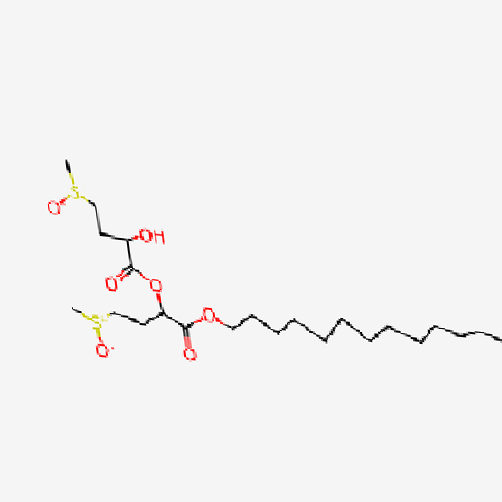 CCCCCCCCCCCCCCOC(=O)C(CC[S+](C)[O-])OC(=O)C(O)CC[S+](C)[O-]